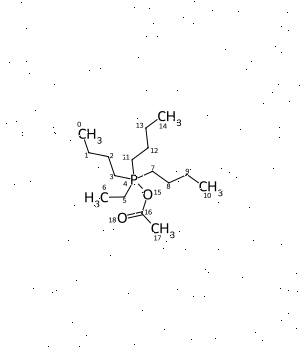 CCCCP(CC)(CCCC)(CCCC)OC(C)=O